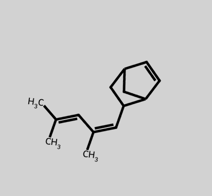 CC(C)=CC(C)=CC1CC2C=CC1C2